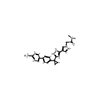 CN(C)C(=O)Cn1cc(-c2nc(C3(c4ccc(-c5cnc(N)nc5)cc4)CC3)no2)cn1